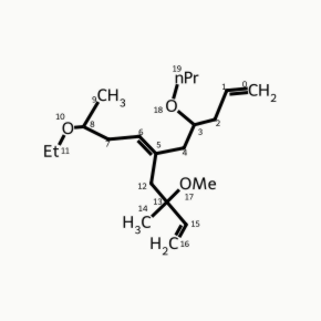 C=CCC(CC(=CCC(C)OCC)CC(C)(C=C)OC)OCCC